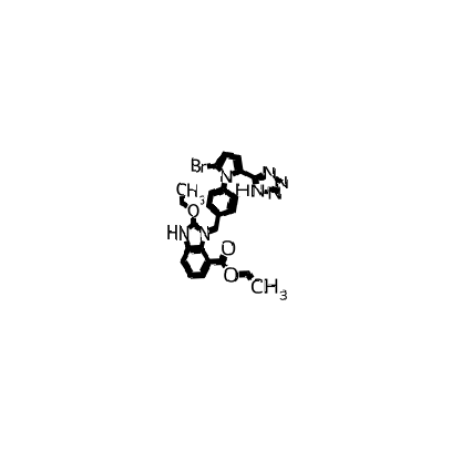 CCOC(=O)c1cccc2c1N(Cc1ccc(-n3c(Br)ccc3-c3nnn[nH]3)cc1)C(OCC)N2